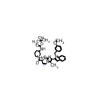 C=C(/C=C\n1c(C)nc(-c2cc3ccccc3n2Cc2cccc(OC)c2)c1C)C(=O)N1CCC[C@@H](NC(=O)OC(C)(C)C)C1